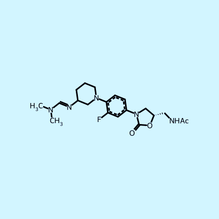 CC(=O)NC[C@H]1CN(c2ccc(N3CCCC(N=CN(C)C)C3)c(F)c2)C(=O)O1